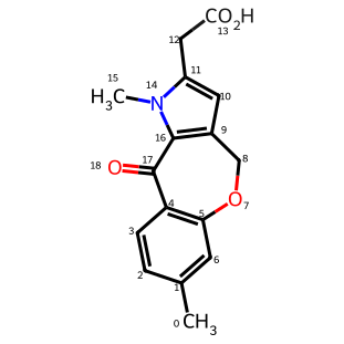 Cc1ccc2c(c1)OCc1cc(CC(=O)O)n(C)c1C2=O